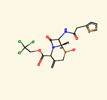 C=C1C[S+]([O-])[C@H]2C(NC(=O)Cc3cccs3)C(=O)N2C1C(=O)OCC(Cl)(Cl)Cl